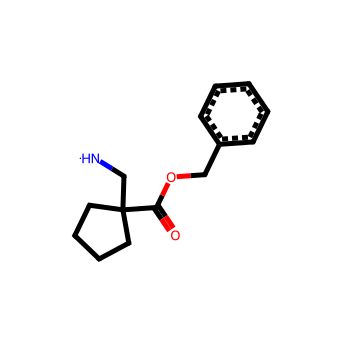 [NH]CC1(C(=O)OCc2ccccc2)CCCC1